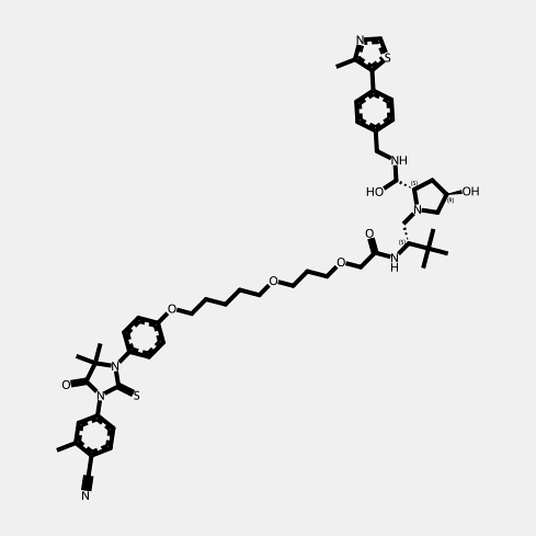 Cc1cc(N2C(=O)C(C)(C)N(c3ccc(OCCCCCOCCCOCC(=O)N[C@H](CN4C[C@H](O)C[C@H]4C(O)NCc4ccc(-c5scnc5C)cc4)C(C)(C)C)cc3)C2=S)ccc1C#N